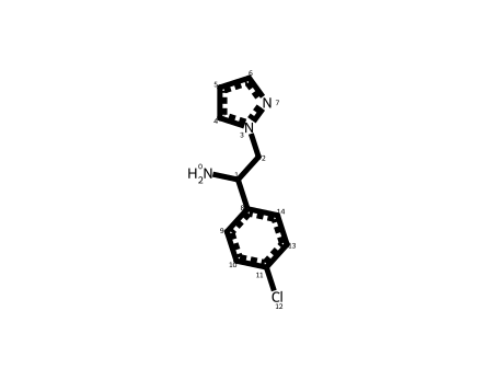 NC(Cn1cccn1)c1ccc(Cl)cc1